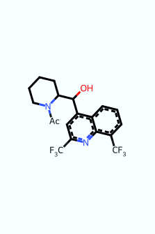 CC(=O)N1CCCCC1C(O)c1cc(C(F)(F)F)nc2c(C(F)(F)F)cccc12